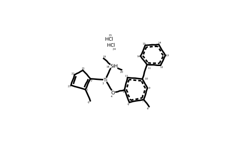 CC1=[C]([Ti]([O]c2cc(C)cc(-c3ccccc3)c2)[SiH](C)C)CC=C1.Cl.Cl